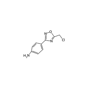 Nc1ccc(-c2noc(CCl)n2)cc1